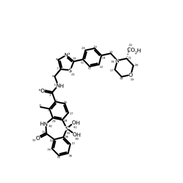 Cc1c(C(=O)NCc2cnc(-c3ccc(CN4CCOC[C@H]4C(=O)O)cc3)s2)ccc2c1NC(=O)c1ccccc1S2(O)O